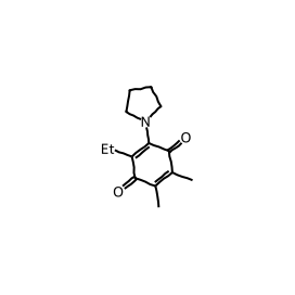 CCC1=C(N2CCCC2)C(=O)C(C)=C(C)C1=O